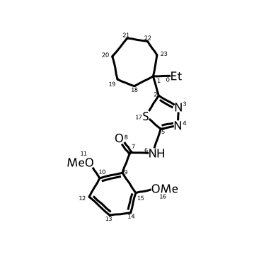 CCC1(c2nnc(NC(=O)c3c(OC)cccc3OC)s2)CCCCCC1